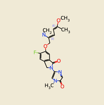 C=N/C(=C\C=C(/C)OC)COc1cc2c(cc1F)CN(c1cn(C)c(=O)cn1)C2=O